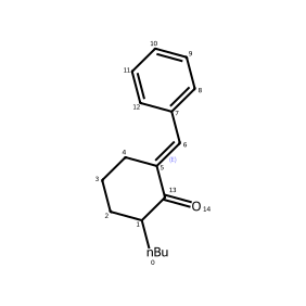 CCCCC1CCC/C(=C\c2ccccc2)C1=O